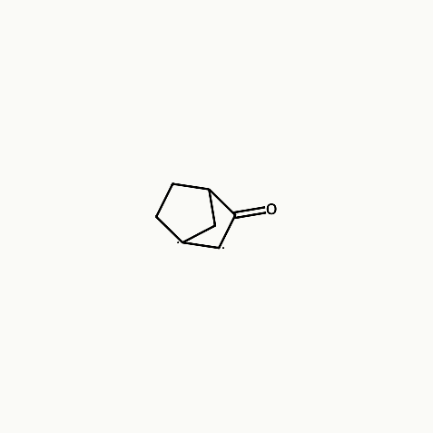 O=C1[CH][C]2CCC1C2